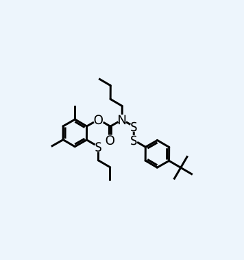 CCCCN(SSc1ccc(C(C)(C)C)cc1)C(=O)Oc1c(C)cc(C)cc1SCCC